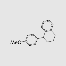 COc1ccc(C2CCCc3ccccc32)cc1